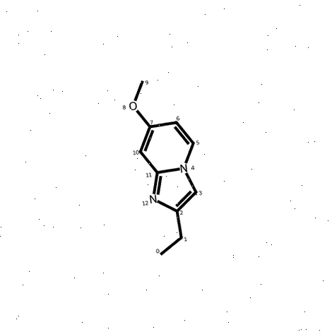 CCc1[c]n2ccc(OC)cc2n1